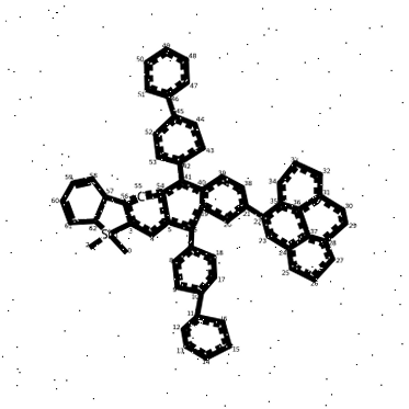 C[Si]1(C)c2cc3c(-c4ccc(-c5ccccc5)cc4)c4cc(-c5cc6cccc7ccc8cccc5c8c76)ccc4c(-c4ccc(-c5ccccc5)cc4)c3cc2C2C=CC=CC21